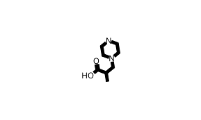 CC(CN1CC[N]CC1)C(=O)O